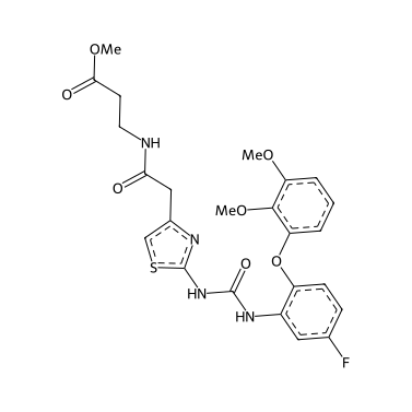 COC(=O)CCNC(=O)Cc1csc(NC(=O)Nc2cc(F)ccc2Oc2cccc(OC)c2OC)n1